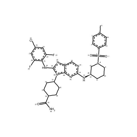 Cc1ccc(S(=O)(=O)N2CCC[C@@H](Nc3ncc4nc(Nc5c(F)cc(Cl)cc5F)n(C5CCC(C(N)=O)CC5)c4n3)C2)cc1